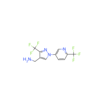 NCc1cn(-c2ccc(C(F)(F)F)nc2)nc1C(F)(F)F